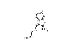 CC1Cc2ccccc2/C1=N/CCCO